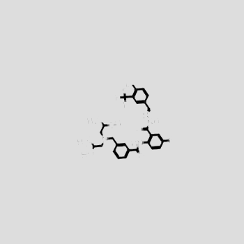 CC(O)CN(Cc1cccc(C(=O)Nc2ccc(F)cc2C(=O)NN=Cc2ccc(Cl)c(C(F)(F)F)c2)c1)CC(C)O